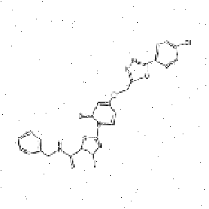 CC1N=C(n2ccc(OCc3nnc(-c4ccc(Cl)cc4)o3)cc2=O)SC1C(=O)NCc1ccccc1